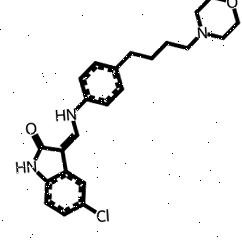 O=C1Nc2ccc(Cl)cc2C1=CNc1ccc(CCCCN2CCOCC2)cc1